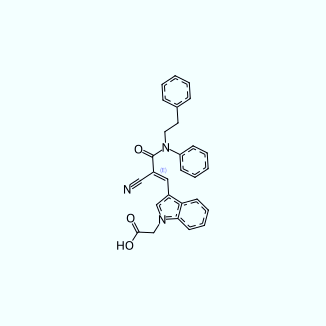 N#C/C(=C\c1cn(CC(=O)O)c2ccccc12)C(=O)N(CCc1ccccc1)c1ccccc1